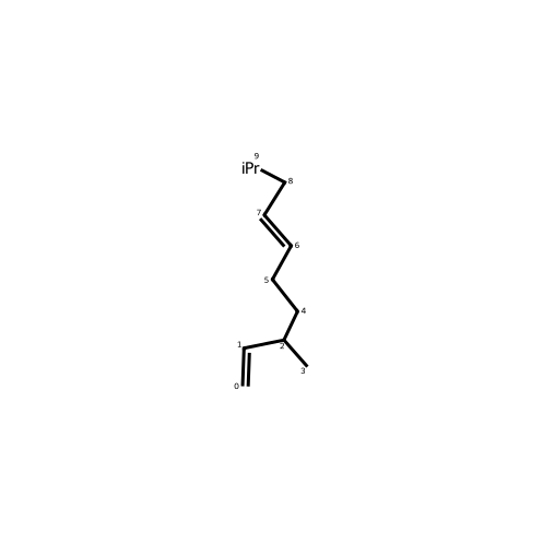 C=CC(C)CCC=CCC(C)C